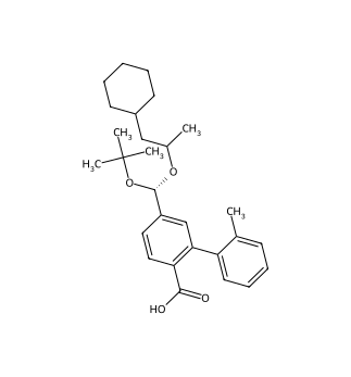 Cc1ccccc1-c1cc([C@@H](OC(C)CC2CCCCC2)OC(C)(C)C)ccc1C(=O)O